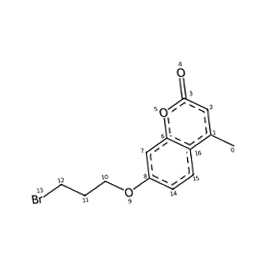 Cc1cc(=O)oc2cc(OCCCBr)ccc12